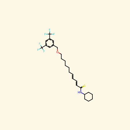 FC(F)(F)c1cc(COCCCCCC/C=C/C=C/C(=S)NC2CCCCC2)cc(C(F)(F)F)c1